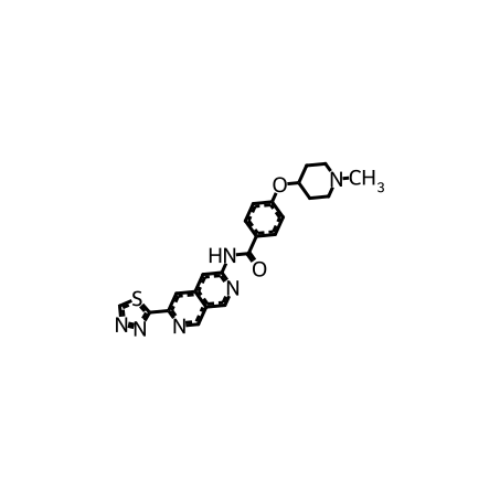 CN1CCC(Oc2ccc(C(=O)Nc3cc4cc(-c5nncs5)ncc4cn3)cc2)CC1